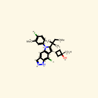 COCC(C)(C)c1c([C@H]2C[C@](O)(C(=O)O)C2)c2c(F)c3[nH]ncc3cc2n1-c1ccc(F)c(OC)c1